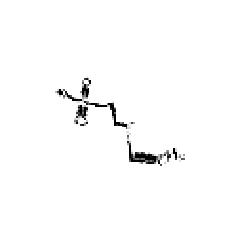 C=CSCCS(=O)(=O)O